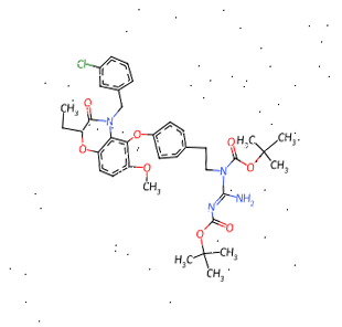 CCC1Oc2ccc(OC)c(Oc3ccc(CCN(C(=O)OC(C)(C)C)C(N)=NC(=O)OC(C)(C)C)cc3)c2N(Cc2cccc(Cl)c2)C1=O